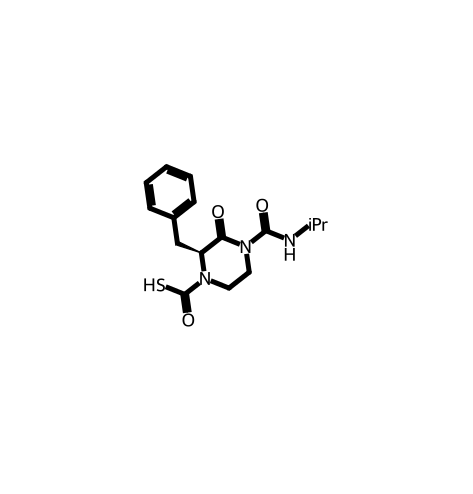 CC(C)NC(=O)N1CCN(C(=O)S)[C@@H](Cc2ccccc2)C1=O